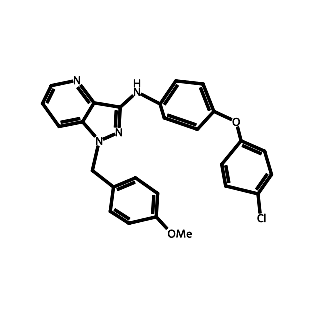 COc1ccc(Cn2nc(Nc3ccc(Oc4ccc(Cl)cc4)cc3)c3ncccc32)cc1